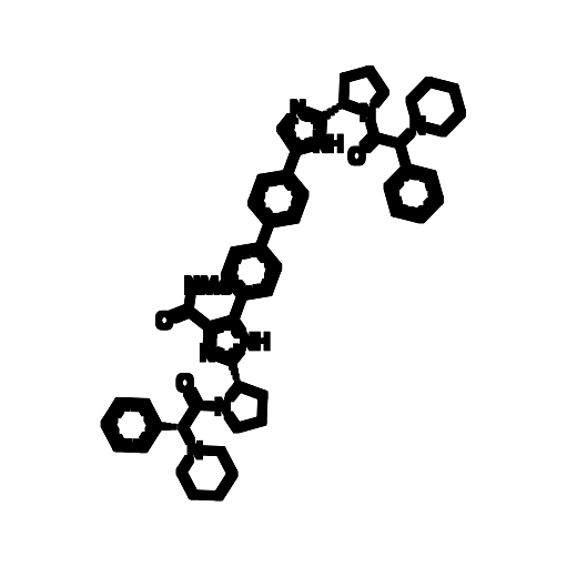 CNC(=O)c1nc([C@@H]2CCCN2C(=O)[C@@H](c2ccccc2)N2CCCCC2)[nH]c1-c1ccc(-c2ccc(-c3cnc([C@@H]4CCCN4C(=O)C(c4ccccc4)N4CCCCC4)[nH]3)cc2)cc1